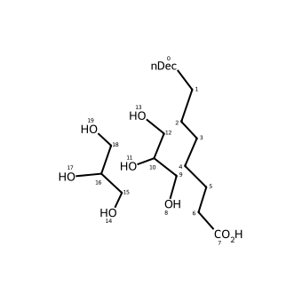 CCCCCCCCCCCCCCCCC(=O)O.OCC(O)CO.OCC(O)CO